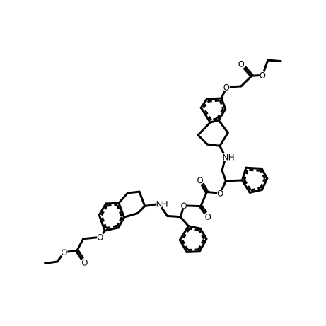 CCOC(=O)COc1ccc2c(c1)CC(NCC(OC(=O)C(=O)OC(CNC1CCc3ccc(OCC(=O)OCC)cc3C1)c1ccccc1)c1ccccc1)CC2